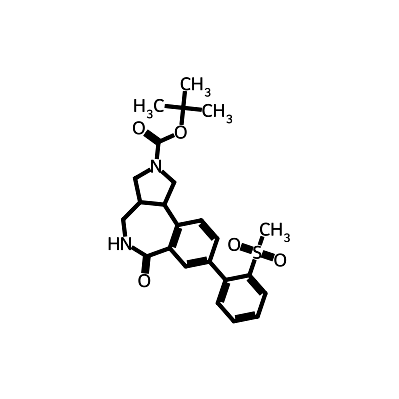 CC(C)(C)OC(=O)N1CC2CNC(=O)c3cc(-c4ccccc4S(C)(=O)=O)ccc3C2C1